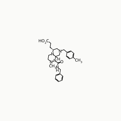 Cc1ccc(CN2C[C@H](CCC(=O)O)N3CCN(C)N(C(=O)NCc4ccccc4)[C@H]3C2)cc1